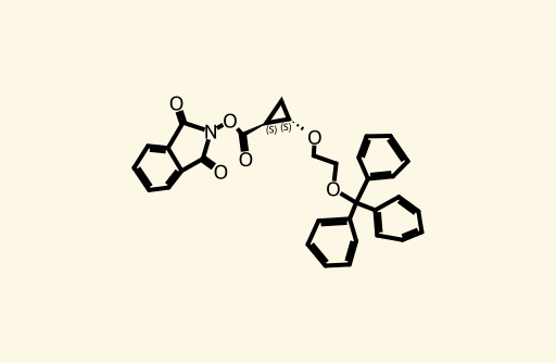 O=C(ON1C(=O)c2ccccc2C1=O)[C@H]1C[C@@H]1OCCOC(c1ccccc1)(c1ccccc1)c1ccccc1